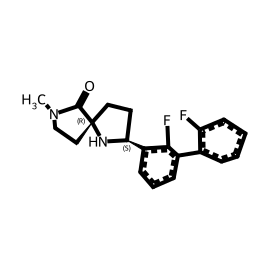 CN1CC[C@]2(CC[C@@H](c3cccc(-c4ccccc4F)c3F)N2)C1=O